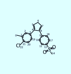 Cc1cc(C2=CCC=C2c2ccc(S(C)(=O)=O)cc2)ccc1Cl